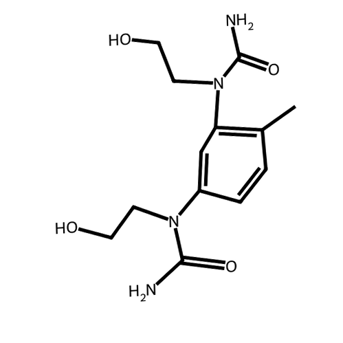 Cc1ccc(N(CCO)C(N)=O)cc1N(CCO)C(N)=O